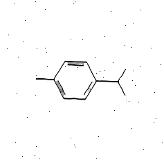 Fc1ccc(C(F)Cl)cc1